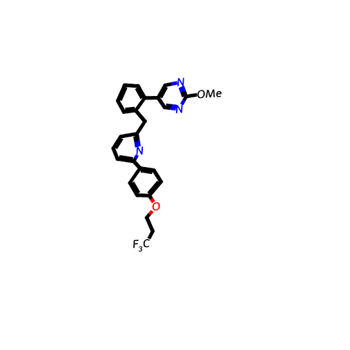 COc1ncc(-c2ccccc2Cc2cccc(-c3ccc(OCCC(F)(F)F)cc3)n2)cn1